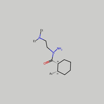 CCN(CC)CCN(N)C(=O)[C@@H]1CCCC[C@@H]1C(C)=O